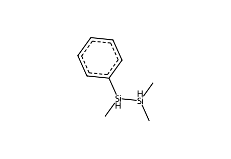 C[SiH](C)[SiH](C)c1ccccc1